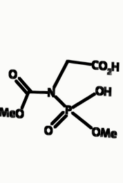 [CH2]OC(=O)N(CC(=O)O)P(=O)(O)OC